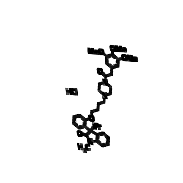 COc1cc(CC(=O)N2CCN(CCCCOc3ccccc3C3(C(C)C)C(=O)N(C)c4ccccc43)CC2)cc(OC)c1OC.Cl